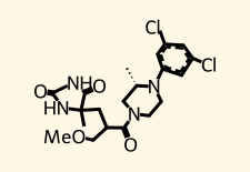 COCC(CC1(C)NC(=O)NC1=O)C(=O)N1CCN(c2cc(Cl)cc(Cl)c2)[C@@H](C)C1